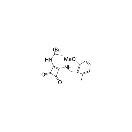 COc1cccc(C)c1CNc1c(NC(C)C(C)(C)C)c(=O)c1=O